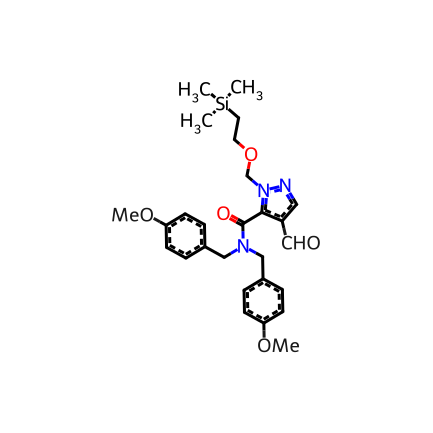 COc1ccc(CN(Cc2ccc(OC)cc2)C(=O)c2c(C=O)cnn2COCC[Si](C)(C)C)cc1